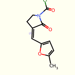 Cc1ccc(/C=C2/CCN(C(=O)Cl)C2=O)o1